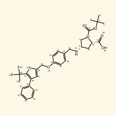 CC(C)(C)OC(=O)N1C[C@@H](NCc2ccc(OCc3cc(-c4ccccc4)c(C(F)(F)F)s3)cc2)C[C@H]1C(=O)O